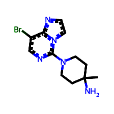 CC1(N)CCN(c2ncc(Br)c3nccn23)CC1